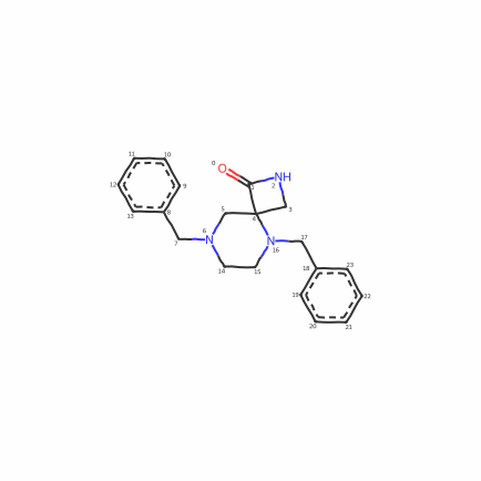 O=C1NCC12CN(Cc1ccccc1)CCN2Cc1ccccc1